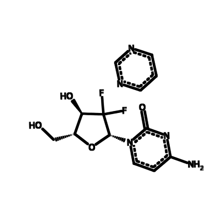 Nc1ccn([C@@H]2O[C@H](CO)[C@@H](O)C2(F)F)c(=O)n1.c1cncnc1